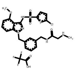 CNCC(=O)NCc1cccc(Cn2nc(NS(=O)(=O)c3ccc(Cl)s3)c3c(OC)cccc32)c1.O=C(O)C(F)(F)F